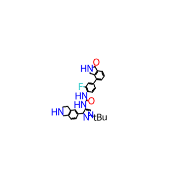 CC(C)(C)n1cc(NC(=O)Nc2ccc(-c3cccc4c3CNC4=O)cc2F)c(-c2ccc3c(c2)CCNC3)n1